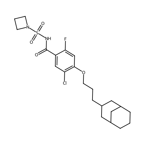 O=C(NS(=O)(=O)N1CCC1)c1cc(Cl)c(OCCCC2CC3CCCC(C2)C3)cc1F